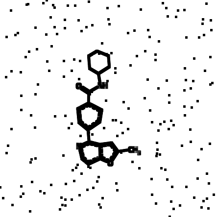 Cc1cc2c(-c3ccc(C(=O)NC4CCCCC4)cc3)nccc2o1